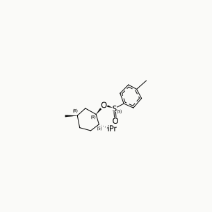 Cc1ccc([S@@](=O)O[C@@H]2C[C@H](C)CC[C@H]2C(C)C)cc1